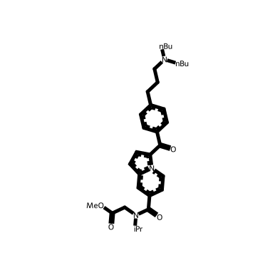 CCCCN(CCCC)CCCc1ccc(C(=O)c2ccc3cc(C(=O)N(CC(=O)OC)C(C)C)ccn23)cc1